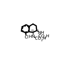 O=C(O)N[C@@H]1CCc2cccc(Cl)c2[C@@H]1NC(=O)O